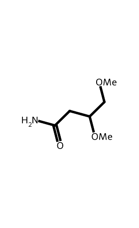 COCC(CC(N)=O)OC